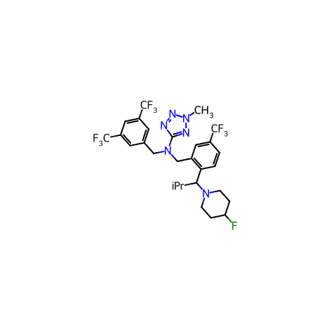 CC(C)C(c1ccc(C(F)(F)F)cc1CN(Cc1cc(C(F)(F)F)cc(C(F)(F)F)c1)c1nnn(C)n1)N1CCC(F)CC1